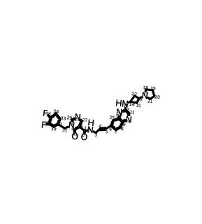 O=C(NCC#Cc1ccc2ncc(NC3CC(N4CCCC4)C3)nc2c1)c1cncn(Cc2ccc(F)c(F)c2)c1=O